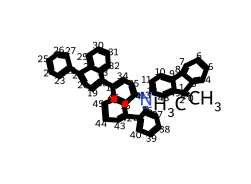 CC1(C)c2ccccc2-c2ccc(N(c3ccc(-c4ccc(-c5ccccc5)c5ccccc45)cc3)c3ccccc3C3=CC=CCC3)cc21